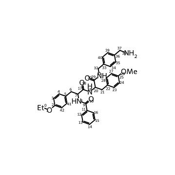 CCOc1ccc(CC(NC(=O)c2ccccc2)C(=O)NC(Cc2ccc(OC)cc2)C(=O)NCc2ccc(CN)cc2)cc1